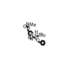 CNC(=O)OCC1CCn2c(nnc2[C@@H](COCc2ccccc2)NCC(C)(C)C)C1